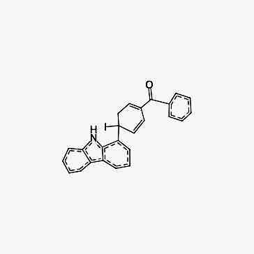 O=C(C1=CCC(I)(c2cccc3c2[nH]c2ccccc23)C=C1)c1ccccc1